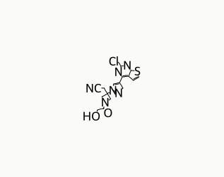 N#CCC1(n2cc(-c3nc(Cl)nc4sccc34)cn2)CN(C(=O)CO)C1